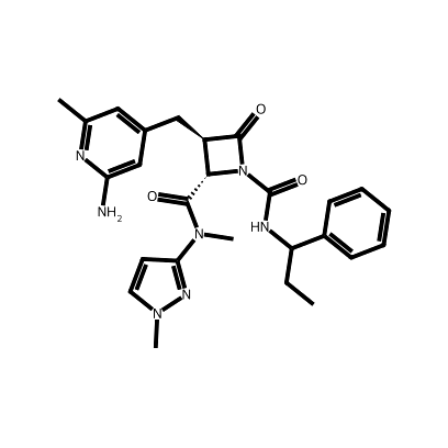 CCC(NC(=O)N1C(=O)[C@H](Cc2cc(C)nc(N)c2)[C@H]1C(=O)N(C)c1ccn(C)n1)c1ccccc1